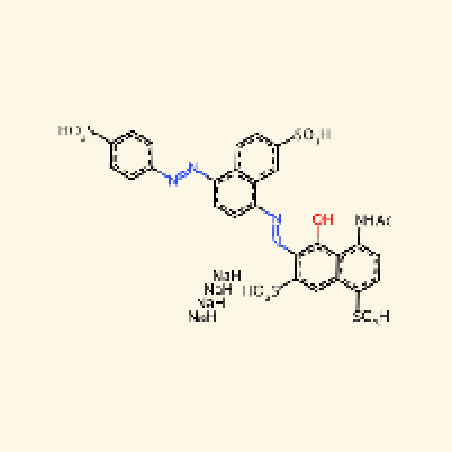 CC(=O)Nc1ccc(S(=O)(=O)O)c2cc(S(=O)(=O)O)c(/N=N/c3ccc(/N=N/c4ccc(S(=O)(=O)O)cc4)c4ccc(S(=O)(=O)O)cc34)c(O)c12.[NaH].[NaH].[NaH].[NaH]